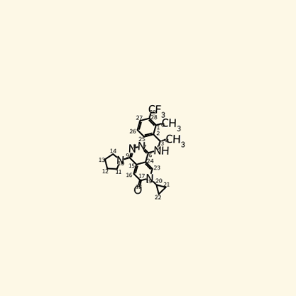 Cc1c([C@@H](C)Nc2nnc(N3CCCC3)c3cc(=O)n(C4CC4)cc23)cccc1C(F)(F)F